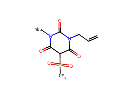 C=CCN1C(=O)C(S(=O)(=O)C(F)(F)F)C(=O)N(CCCC)C1=O